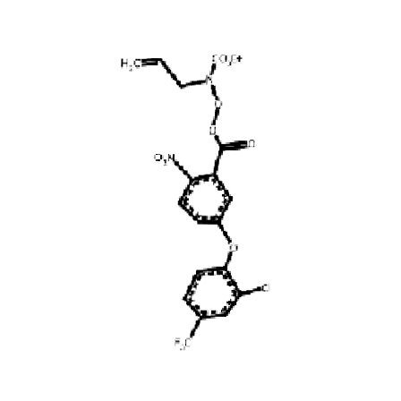 C=CCN(OOC(=O)c1cc(Oc2ccc(C(F)(F)F)cc2Cl)ccc1[N+](=O)[O-])C(=O)OCC